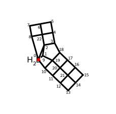 BC1C23C4C5CC6CC(C2C2C7C8CC9CC%10C%11C4C21C%117C9%108)C653